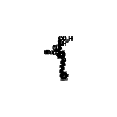 CC(C)(C)OC(=O)C(CCNCC(=O)O)c1ccc(OCCCCCc2ccccc2)cc1